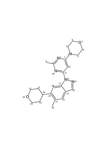 Cc1nc(N2CCOCC2)cc(-n2ncc3cc(C)c(C4CCOCC4)cc32)n1